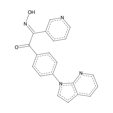 O=C(/C(=N/O)c1cccnc1)c1ccc(-n2ccc3cccnc32)cc1